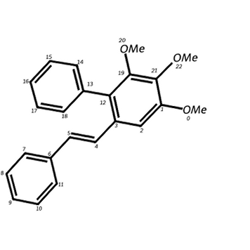 COc1cc(C=Cc2ccccc2)c(-c2ccccc2)c(OC)c1OC